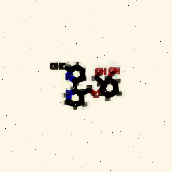 O=Cc1cccc(-c2ncccc2COc2cccc(O)c2CO)n1